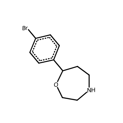 Brc1ccc(C2CCNCCO2)cc1